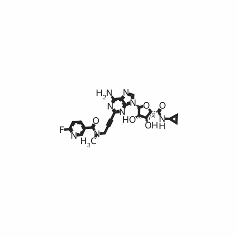 CN(CC#Cc1nc(N)c2ncn([C@@H]3O[C@H](C(=O)NC4CC4)[C@@H](O)[C@H]3O)c2n1)C(=O)c1ccc(F)nc1